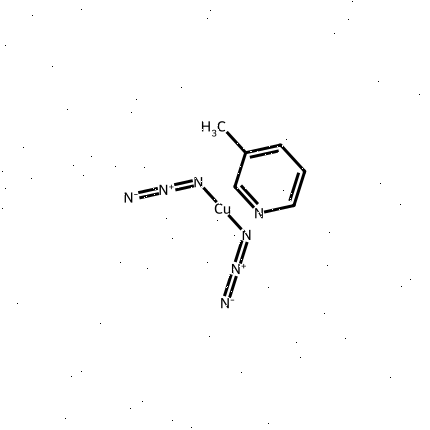 Cc1cccnc1.[N-]=[N+]=[N][Cu][N]=[N+]=[N-]